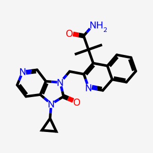 CC(C)(C(N)=O)c1c(Cn2c(=O)n(C3CC3)c3ccncc32)ncc2ccccc12